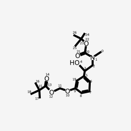 CN(CC(O)c1cccc(OCOC(=O)C(C)(C)C)c1)C(=O)OC(C)(C)C